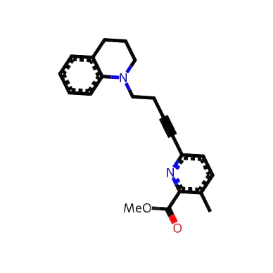 COC(=O)c1nc(C#CCCN2CCCc3ccccc32)ccc1C